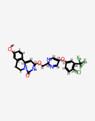 COc1ccc2c(c1)CCn1c-2cc(OCc2ncc(Oc3ccc(Cl)c(C(F)(F)F)c3)cn2)nc1=O